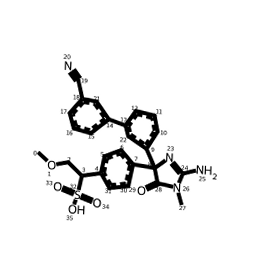 COCC(c1ccc(C2(c3cccc(-c4cccc(C#N)c4)c3)N=C(N)N(C)C2=O)cc1)S(=O)(=O)O